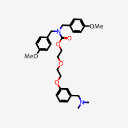 COc1ccc(CN(Cc2ccc(OC)cc2)C(=O)OCCOCCOc2cccc(CN(C)C)c2)cc1